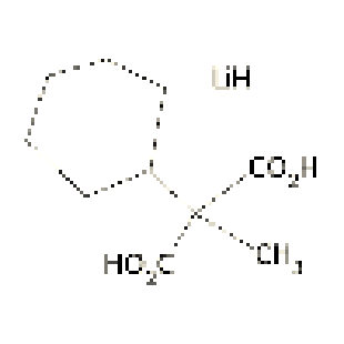 CC(C(=O)O)(C(=O)O)C1CCCCC1.[LiH]